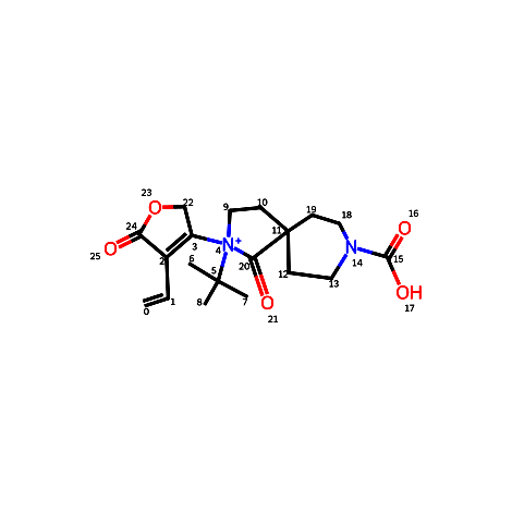 C=CC1=C([N+]2(C(C)(C)C)CCC3(CCN(C(=O)O)CC3)C2=O)COC1=O